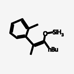 CCCCC(O[SiH3])=C(C)c1ccccc1C